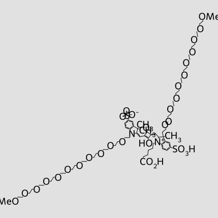 COCCOCCOCCOCCOCCOCCOCCOCCOCCOCCOCCN1C(=CC2=C(O)C(=CC3=[N+](CCCCCC(=O)O)c4ccc(S(=O)(=O)O)cc4C3(C)CCOOCCOCCOCCOCCOCCOCCOCCOCCOCCOC)C2=O)C(C)(C)c2cc(S(=O)(=O)[O-])ccc21